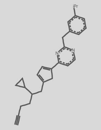 C#CCCC(CC1=CC=C(c2ccnc(Cc3cccc(C(C)C)c3)n2)C1)C1CC1